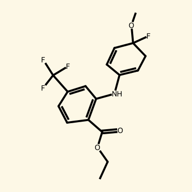 CCOC(=O)c1ccc(C(F)(F)F)cc1NC1=CCC(F)(OC)C=C1